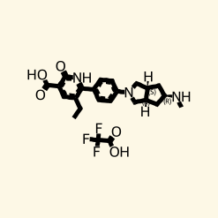 CCc1cc(C(=O)O)c(=O)[nH]c1-c1ccc(N2C[C@H]3C[C@@H](NC)C[C@H]3C2)cc1.O=C(O)C(F)(F)F